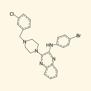 Clc1cccc(CN2CCN(c3nc4ccccc4nc3Nc3ccc(Br)cc3)CC2)c1